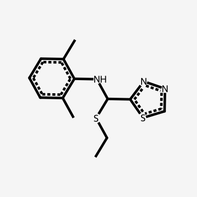 CCSC(Nc1c(C)cccc1C)c1nncs1